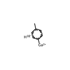 Cc1cc[c]([Ga+2])cc1.[H-].[H-]